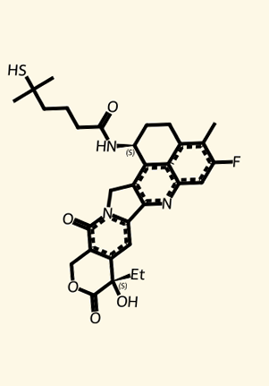 CC[C@@]1(O)C(=O)OCc2c1cc1n(c2=O)Cc2c-1nc1cc(F)c(C)c3c1c2[C@@H](NC(=O)CCCC(C)(C)S)CC3